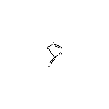 O=c1ocns1